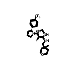 CC1(CNC2NCNC(N3CCC[C@@H]3c3ccc(C(F)(F)F)cc3)C2F)CCOCC1